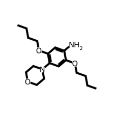 CCCCOc1cc(N2CCOCC2)c(OCCCC)cc1N